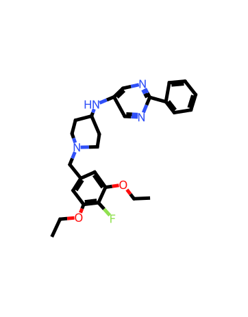 CCOc1cc(CN2CCC(Nc3cnc(-c4ccccc4)nc3)CC2)cc(OCC)c1F